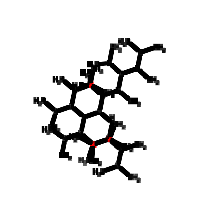 BB(B)B(B)B(BB(B(B(B)B)B(B)B(B(B)B)B(B)B(B)B)B(B(B(B)B)B(B)B(B)B)B(B(B)B)B(B)B(B)B)B(B)B